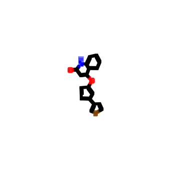 O=c1cc(Oc2cccc(-c3ccsc3)c2)c2ccccc2[nH]1